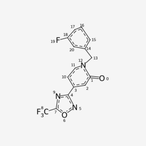 O=c1cc(-c2noc(C(F)(F)F)n2)ccn1Cc1cccc(F)c1